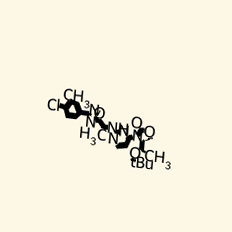 Cc1cc(-c2noc(C(C)Nc3nccc(N4C(=O)OC[C@@H]4[C@@H](C)OC(C)(C)C)n3)n2)ccc1Cl